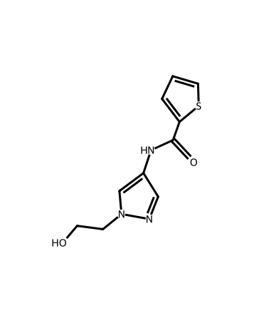 O=C(Nc1cnn(CCO)c1)c1cccs1